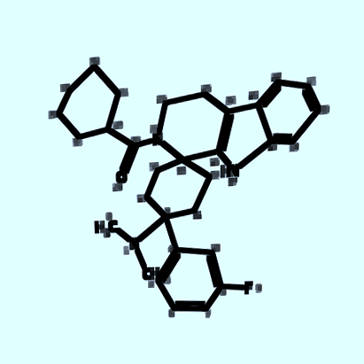 CN(C)C1(c2cccc(F)c2)CCC2(CC1)c1[nH]c3ccccc3c1CCN2C(=O)C1CCCCC1